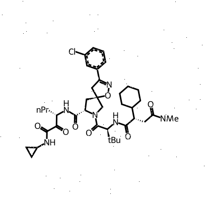 CCC[C@H](NC(=O)[C@@H]1C[C@]2(CC(c3cccc(Cl)c3)=NO2)CN1C(=O)[C@@H](NC(=O)[C@@H](CC(=O)NC)C1CCCCC1)C(C)(C)C)C(=O)C(=O)NC1CC1